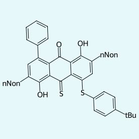 CCCCCCCCCc1cc(Sc2ccc(C(C)(C)C)cc2)c2c(c1O)C(=O)c1c(-c3ccccc3)cc(CCCCCCCCC)c(O)c1C2=S